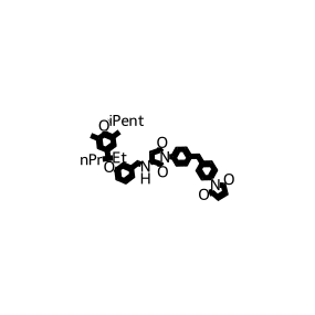 CCCC(C)Oc1c(C)cc(C(CC)(CCC)Oc2cccc(CNC3CC(=O)N(c4ccc(Cc5ccc(N6C(=O)C=CC6=O)cc5)cc4)C3=O)c2)cc1C